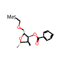 CSCOC[C@H]1O[C@@H](C)C(C)[C@@H]1OC(=O)c1ccccc1